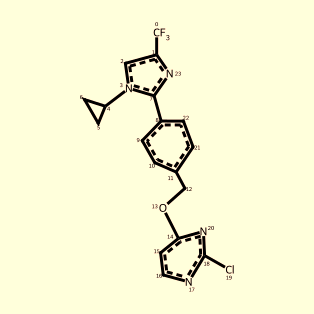 FC(F)(F)c1cn(C2CC2)c(-c2ccc(COc3ccnc(Cl)n3)cc2)n1